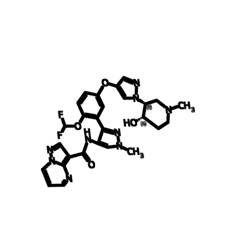 CN1CC[C@H](O)[C@@H](n2cc(Oc3ccc(OC(F)F)c(-c4nn(C)cc4NC(=O)c4cnn5cccnc45)c3)cn2)C1